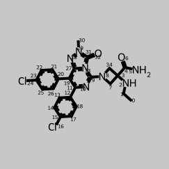 CCNC1(C(N)=O)CN(c2nc(-c3ccc(Cl)cc3)c(-c3ccc(Cl)cc3)c3nn(C)c(=O)n23)C1